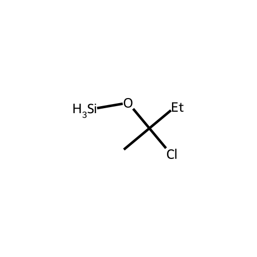 CCC(C)(Cl)O[SiH3]